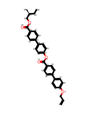 C=CCOc1ccc(-c2ccc(C(=O)Oc3ccc(-c4ccc(C(=O)OC[C@@H](C)CC)cc4)cc3)cc2)cc1